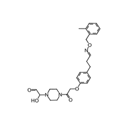 Cc1ccccc1CON=CCCc1ccc(OCC(=O)N2CCN(C(O)C=O)CC2)cc1